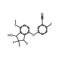 CSc1ccc(Oc2ccc(F)c(C#N)c2)c2c1C(O)C(F)(F)C2F